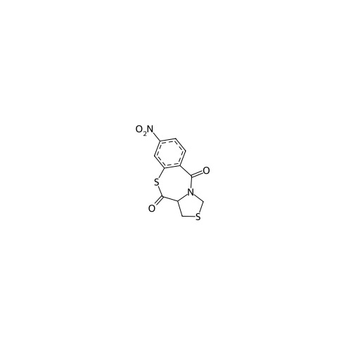 O=C1Sc2cc([N+](=O)[O-])ccc2C(=O)N2CSCC12